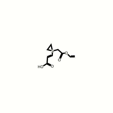 C=COC(=O)C[Si]1(C=CC(=O)O)CC1